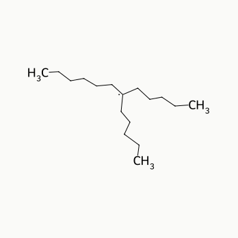 CCCCCC[C](CCCCC)CCCCC